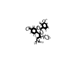 COc1cccc(C(=O)OC(CCN(C)C)c2ccc(Cl)cc2)c1C.Cl